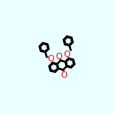 O=C1c2cccc(OCc3ccccc3)c2C(=O)c2c(OCc3ccccc3)cccc21